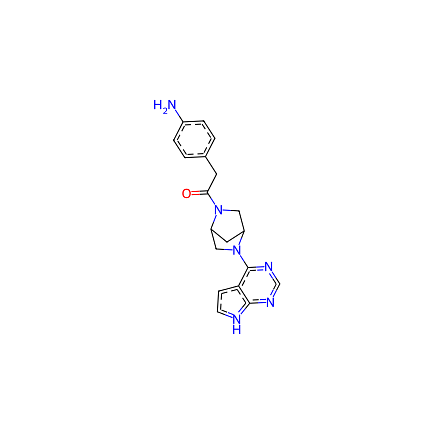 Nc1ccc(CC(=O)N2CC3CC2CN3c2ncnc3[nH]ccc23)cc1